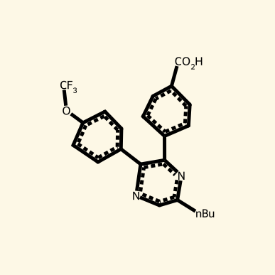 CCCCc1cnc(-c2ccc(OC(F)(F)F)cc2)c(-c2ccc(C(=O)O)cc2)n1